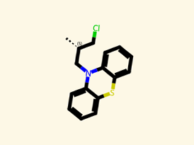 C[C@H](CCl)CN1c2ccccc2Sc2ccccc21